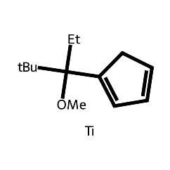 CCC(OC)(C1=CC=CC1)C(C)(C)C.[Ti]